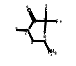 CN(CCN)C(=O)C(F)(F)F